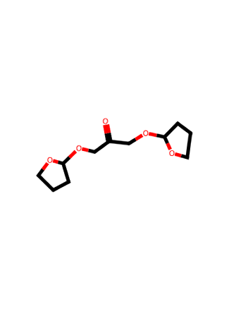 O=C(COC1CCCO1)COC1CCCO1